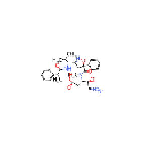 CC(C(=O)N[C@H](C1=NOC(C(=O)N(C)[C@@H](CC(=O)O)C(=O)C=[N+]=[N-])(c2ccccc2)C1)C(C)C)c1ccccc1